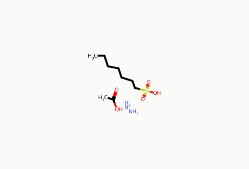 CC(=O)O.CCCCCCCS(=O)(=O)O.N.N